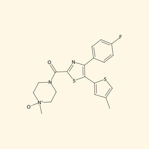 Cc1csc(-c2sc(C(=O)N3CC[N+](C)([O-])CC3)nc2-c2ccc(F)cc2)c1